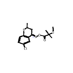 CSC(C)(C)C(=O)O/N=C1\CC(C)Sc2ccc(Cl)cc21